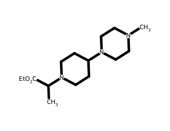 CCOC(=O)C(C)N1CCC(N2CCN(C)CC2)CC1